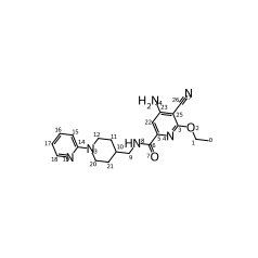 CCOc1nc(C(=O)NCC2CCN(c3ccccn3)CC2)cc(N)c1C#N